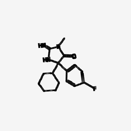 CN1C(=N)NC(c2ccc(F)cc2)(C2CCCCC2)C1=O